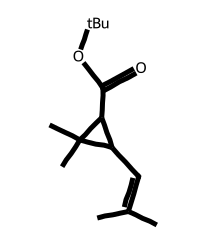 CC(C)=CC1C(C(=O)OC(C)(C)C)C1(C)C